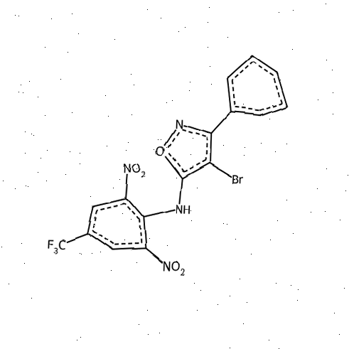 O=[N+]([O-])c1cc(C(F)(F)F)cc([N+](=O)[O-])c1Nc1onc(-c2ccccc2)c1Br